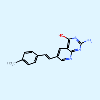 Nc1nc(O)c2cc(C=Cc3ccc(C(=O)O)cc3)cnc2n1